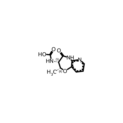 C[C@H]1Oc2cccnc2NC(=O)[C@H]1NC(=O)O